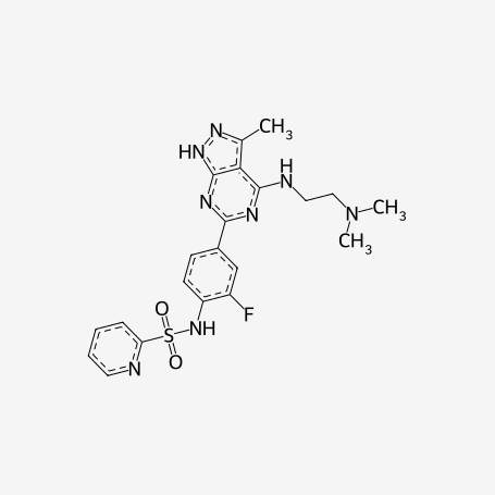 Cc1n[nH]c2nc(-c3ccc(NS(=O)(=O)c4ccccn4)c(F)c3)nc(NCCN(C)C)c12